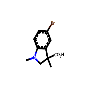 CN1CC(C)(C(=O)O)c2cc(Br)ccc21